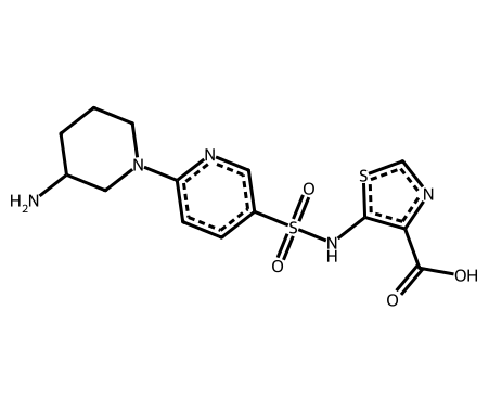 NC1CCCN(c2ccc(S(=O)(=O)Nc3scnc3C(=O)O)cn2)C1